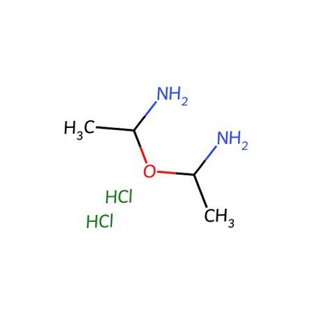 CC(N)OC(C)N.Cl.Cl